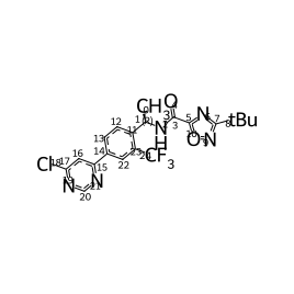 C[C@@H](NC(=O)c1nc(C(C)(C)C)no1)c1ccc(-c2cc(Cl)ncn2)cc1C(F)(F)F